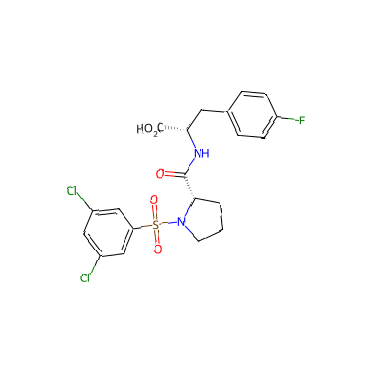 O=C(O)[C@H](Cc1ccc(F)cc1)NC(=O)[C@@H]1CCCN1S(=O)(=O)c1cc(Cl)cc(Cl)c1